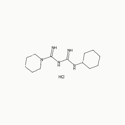 Cl.N=C(NC(=N)N1CCCCC1)NC1CCCCC1